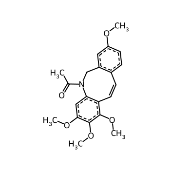 COc1ccc2c(c1)CN(C(C)=O)c1cc(OC)c(OC)c(OC)c1/C=C\2